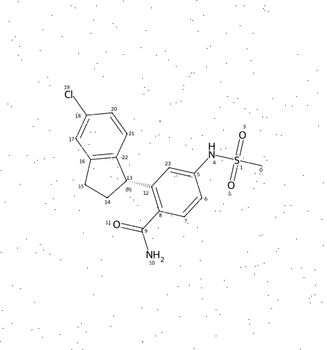 CS(=O)(=O)Nc1ccc(C(N)=O)c([C@@H]2CCc3cc(Cl)ccc32)c1